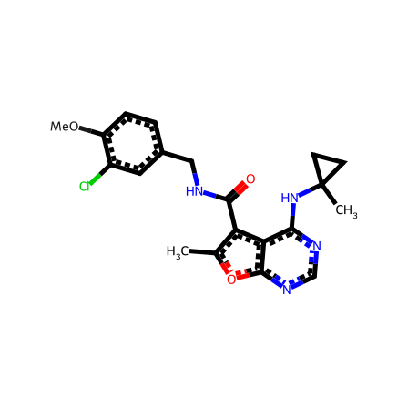 COc1ccc(CNC(=O)c2c(C)oc3ncnc(NC4(C)CC4)c23)cc1Cl